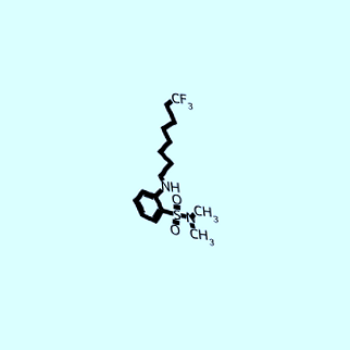 CN(C)S(=O)(=O)c1ccccc1NCCCCCCCC(F)(F)F